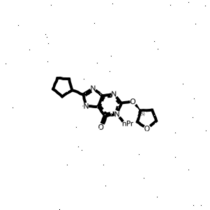 CCCn1c(O[C@H]2CCOC2)nc2c(c1=O)[N]C(C1CCCC1)=N2